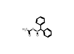 CC(=O)OS(=O)C(c1ccccc1)c1ccccc1